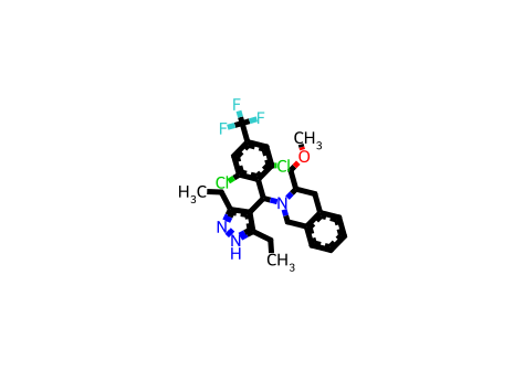 CCc1n[nH]c(CC)c1C(c1c(Cl)cc(C(F)(F)F)cc1Cl)N1Cc2ccccc2CC1COC